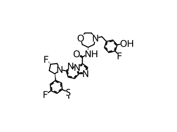 CSc1cc(F)cc([C@H]2C[C@H](F)CN2c2ccc3ncc(C(=O)N[C@@H]4COCCN(Cc5ccc(F)c(O)c5)C4)n3n2)c1